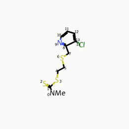 CNC(=S)SCCSCc1ncccc1Cl